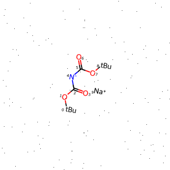 CC(C)(C)OC(=O)[N-]C(=O)OC(C)(C)C.[Na+]